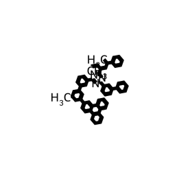 C/C=C\C(=C/C(C)c1ccccc1)c1nc(-c2cccc(C3=CC(C)CC(c4ccc5c6c(c7ccccc7c5c4)C=CCC6)=C3)c2)nc(-c2cccc(-c3ccccc3)c2)n1